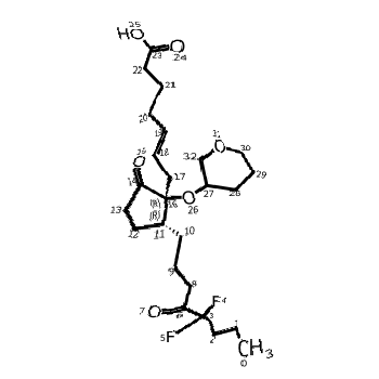 CCCC(F)(F)C(=O)CCC[C@@H]1CCC(=O)[C@]1(CC=CCCCC(=O)O)OC1CCCOC1